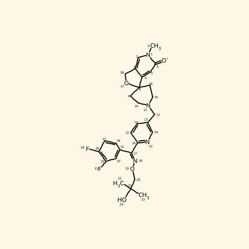 Cn1cc2c(cc1=O)C1(CCN(Cc3ccc(C(=NOCC(C)(C)O)c4ccc(F)c(F)c4)nc3)CC1)OC2